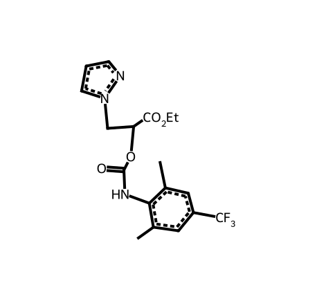 CCOC(=O)C(Cn1cccn1)OC(=O)Nc1c(C)cc(C(F)(F)F)cc1C